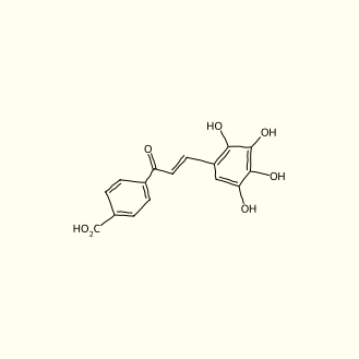 O=C(O)c1ccc(C(=O)/C=C/c2cc(O)c(O)c(O)c2O)cc1